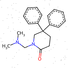 CN(C)CN1CC(c2ccccc2)(c2ccccc2)CCC1=O